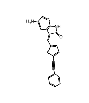 Nc1cnc2c(c1)C(=Cc1ccc(C#Cc3ccccc3)s1)C(=O)N2